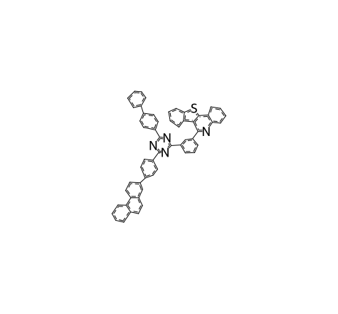 c1ccc(-c2ccc(-c3nc(-c4ccc(-c5ccc6c(ccc7ccccc76)c5)cc4)nc(-c4cccc(-c5nc6ccccc6c6sc7ccccc7c56)c4)n3)cc2)cc1